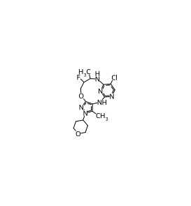 Cc1c2c(nn1C1CCOCC1)OCC(F)C(C)Nc1nc(ncc1Cl)N2